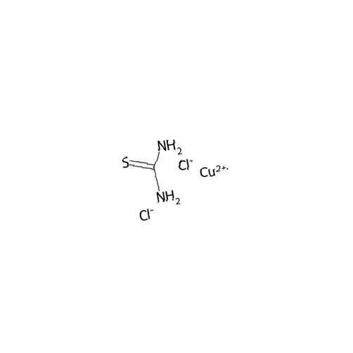 NC(N)=S.[Cl-].[Cl-].[Cu+2]